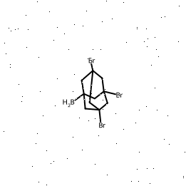 BC12CC3(Br)CC(Br)(C1)CC(Br)(C2)C3